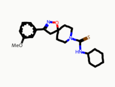 COc1cccc(C2=NOC3(CCN(C(=S)NC4CCCCC4)CC3)C2)c1